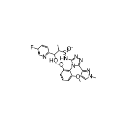 COc1cccc(OC)c1-n1c(N[S+]([O-])C(C)C(O)c2ccc(F)cn2)nnc1-c1ccn(C)n1